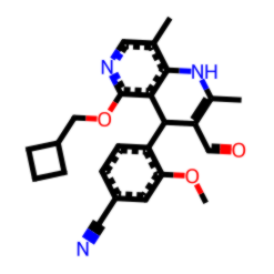 COc1cc(C#N)ccc1C1C(C=O)=C(C)Nc2c(C)cnc(OCC3CCC3)c21